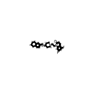 O=c1ccc2c(F)cc(F)cc2n1CCN1CCC(NCc2ccc3c(c2)CCCC3)CC1